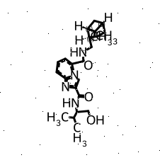 CC(C)C(CO)NC(=O)c1cn2c(C(=O)NC[C@@H]3CC[C@H]4C[C@@H]3C4(C)C)cccc2n1